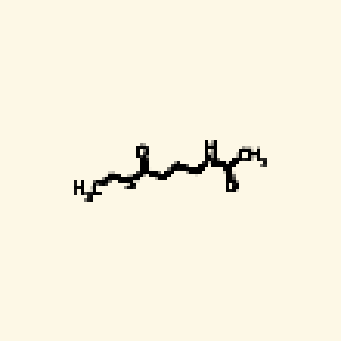 CCSC(=O)CCCNC(C)=O